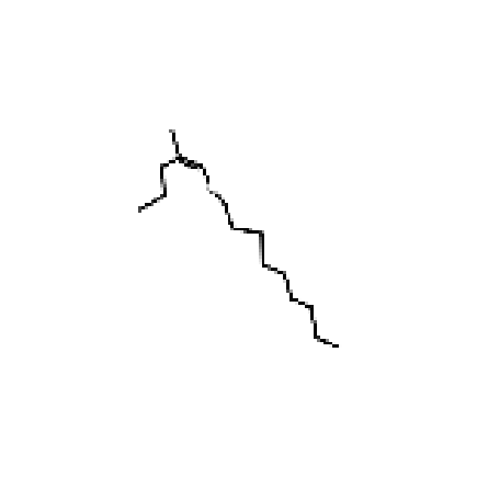 [CH2]C(=CCCCCCCCCCC)CCC